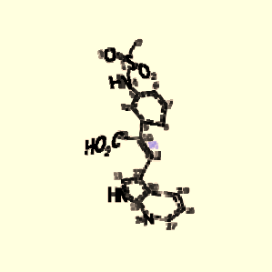 CS(=O)(=O)Nc1cccc(/C(=C/c2c[nH]c3ncccc23)C(=O)O)c1